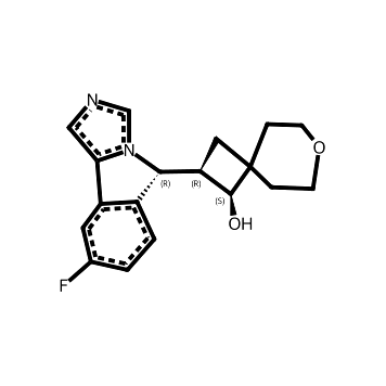 O[C@H]1[C@@H]([C@@H]2c3ccc(F)cc3-c3cncn32)CC12CCOCC2